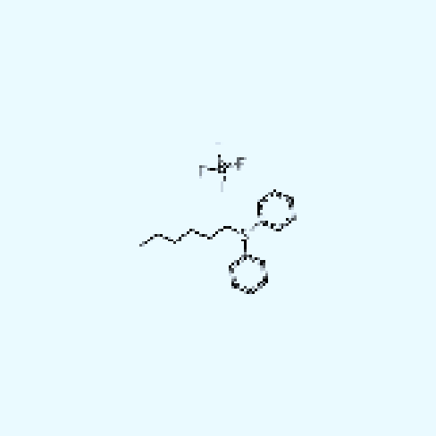 CCCCCC[S+](c1ccccc1)c1ccccc1.F[B-](F)(F)F